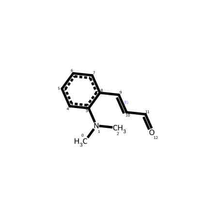 CN(C)c1ccccc1/C=C/C=O